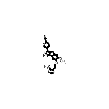 COc1cc2c(cc1OCCc1scnc1C)-c1[nH]nc(-c3ccc(C#N)nc3)c1C2